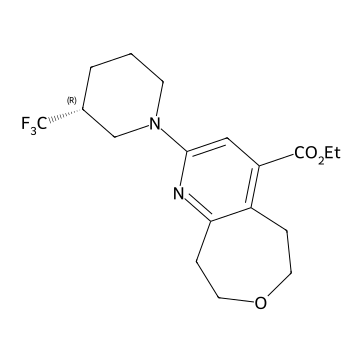 CCOC(=O)c1cc(N2CCC[C@@H](C(F)(F)F)C2)nc2c1CCOCC2